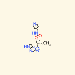 CC[C@@H]1C[C@H](OC(=O)NCc2ccncc2)C[C@@H]1c1nnc2cnc3[nH]ccc3n12